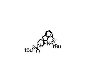 CC(C)(C)OC(=O)N1CCC2(CC1)Cc1cccnc1[C@H]2N[S@+]([O-])C(C)(C)C